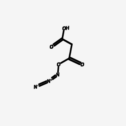 [N-]=[N+]=NOC(=O)CC(=O)O